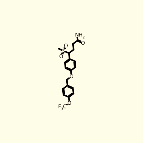 CS(=O)(=O)C(CCC(N)=O)c1ccc(OCc2ccc(OC(F)(F)F)cc2)cc1